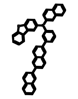 c1cc(-c2ccc3cc(-c4ccc5ccccc5c4)ccc3c2)cc(N(c2ccc3ccccc3c2)c2ccc3oc4ccccc4c3c2)c1